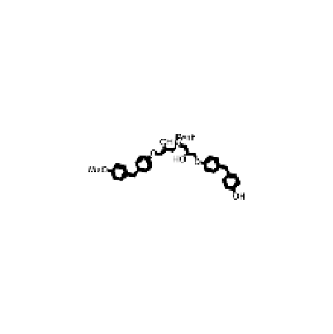 CCCC(C)N(CC(O)COc1ccc(Cc2ccc(O)cc2)cc1)CC(O)COc1ccc(Cc2ccc(OC)cc2)cc1